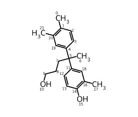 Cc1ccc(C(C)(CCCO)c2ccc(O)c(C)c2)cc1C